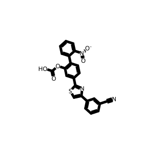 N#Cc1cccc(-c2csc(-c3ccc(-c4ccccc4[N+](=O)[O-])c(OC(=O)O)c3)n2)c1